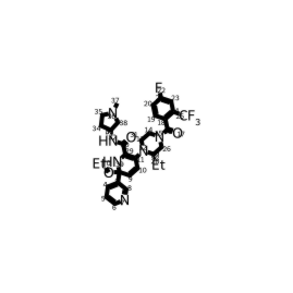 CCOC1(c2cccnc2)C=CC(N2CCN(C(=O)c3ccc(F)cc3C(F)(F)F)C[C@H]2CC)=C(C(=O)N[C@@H]2CCN(C)C2)N1